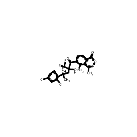 Cc1noc(=O)c2ccc(C(=O)C(O)(CC(C)(C)c3ccc(Cl)cc3Cl)C(F)(F)F)c(N)c12